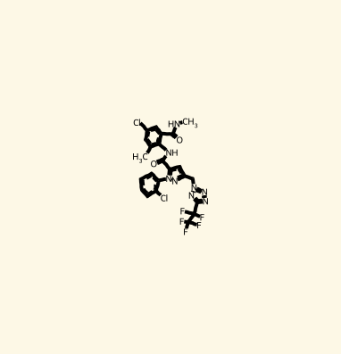 CNC(=O)c1cc(Cl)cc(C)c1NC(=O)c1cc(Cn2nnc(C(F)(F)C(F)(F)F)n2)nn1-c1ccccc1Cl